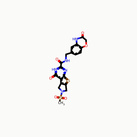 CS(=O)(=O)N1Cc2sc3nc(C(=O)NCc4ccc5c(c4)NC(=O)CO5)[nH]c(=O)c3c2C1